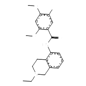 CCN1CCc2c(cccc2NC(=O)c2cc(Cl)c(OC)cc2OC)C1